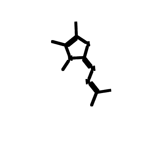 CC(C)=NN=c1sc(C)c(C)n1C